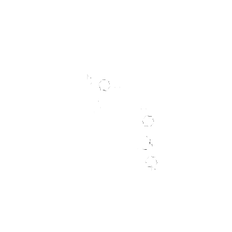 CCCN(CCC)C(=O)c1ccc(OCCCCCOc2ccc(CN=NC(=O)c3ccncc3)cc2)cc1OC(C)(C)C(=O)OCC